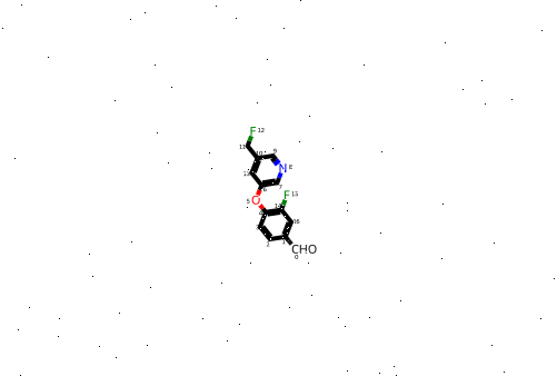 O=Cc1ccc(Oc2cncc(CF)c2)c(F)c1